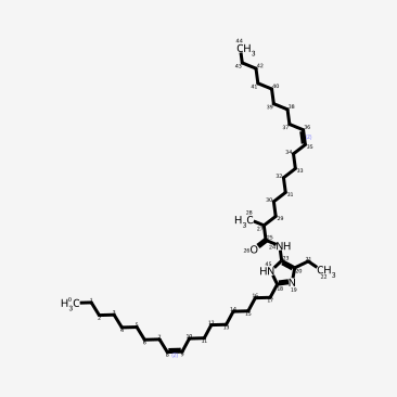 CCCCCCCC/C=C\CCCCCCCCc1nc(CC)c(NC(=O)C(C)CCCCCC/C=C\CCCCCCCC)[nH]1